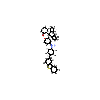 c1ccc2c(c1)Oc1ccc(Nc3ccc(-c4ccc5sc6ccccc6c5c4)cc3)cc1C21c2ccccc2-c2ccccc21